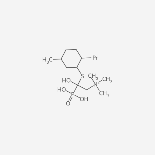 CC1CCC(C(C)C)C(SC(O)(C[N+](C)(C)C)P(=O)(O)O)C1